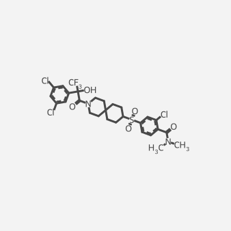 CN(C)C(=O)c1ccc(S(=O)(=O)C2CCC3(CC2)CCN(C(=O)C(O)(c2cc(Cl)cc(Cl)c2)C(F)(F)F)CC3)cc1Cl